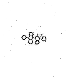 Cc1ccncc1-c1ccc(-c2c3ccccc3c(-c3ccccc3)c3ccccc23)c2ccccc12